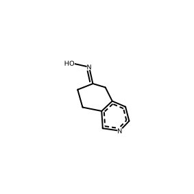 O/N=C1\CCc2cnccc2C1